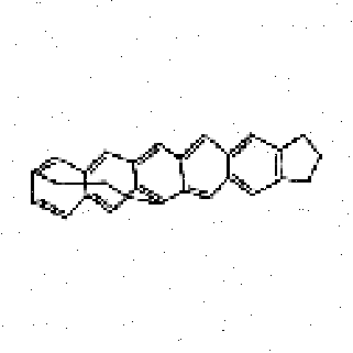 c1cc2cc3c4c5cc6cc7c(cc6cc5cc3cc2cc1CCC4)CCC7